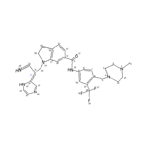 CN1CCN(Cc2ccc(NC(=O)c3ccc4c(c3)N(C/C(C=N)=C3\C=NC=CN3)CC4)cc2C(F)(F)F)CC1